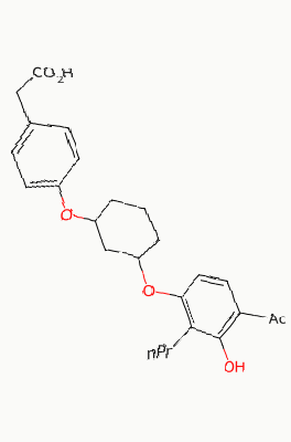 CCCc1c(OC2CCCC(Oc3ccc(CC(=O)O)cc3)C2)ccc(C(C)=O)c1O